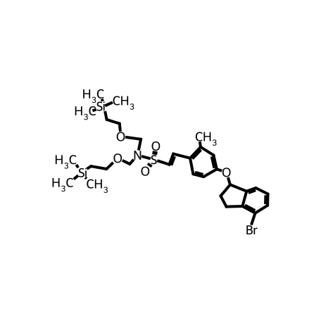 Cc1cc(OC2CCc3c(Br)cccc32)ccc1/C=C/S(=O)(=O)N(COCC[Si](C)(C)C)COCC[Si](C)(C)C